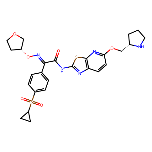 O=C(Nc1nc2ccc(OC[C@@H]3CCCN3)nc2s1)/C(=N/O[C@@H]1CCOC1)c1ccc(S(=O)(=O)C2CC2)cc1